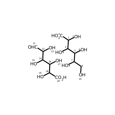 O=C(O)C(O)C(O)C(O)C(O)CO.O=CC(O)C(O)C(O)C(O)C(=O)O